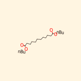 CCCCOC(=O)CCCCCCCCCCC(=O)OCCCC